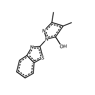 Cc1nn(-c2nc3ccccc3s2)c(O)c1C